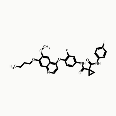 CCCCOc1cc2nccc(Oc3ccc(NC(=O)C4(C(=O)Nc5ccc(F)cc5)CC4)cc3F)c2cc1OC